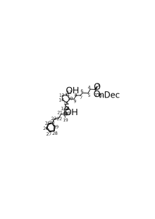 CCCCCCCCCCOC(=O)CCCCCCC1C(O)CCC1SCC(C)(O)CCCc1ccccc1